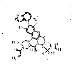 [2H]C([2H])([2H])N(C[C@@H]1CN2C(=O)[C@H]3CN(C(=O)C=C)[C@H](C)CN3c3c2c(nc2c(F)c(-c4c(Cl)ccc5[nH]ncc45)c(Cl)cc32)O1)C([2H])([2H])[2H]